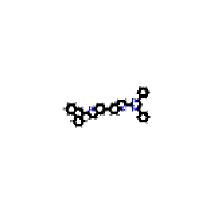 c1ccc(-c2cc(-c3ccccc3)nc(-c3ccc4cc(-c5ccc6nc(-c7cc8ccccc8c8ccccc78)ccc6c5)ccc4n3)n2)cc1